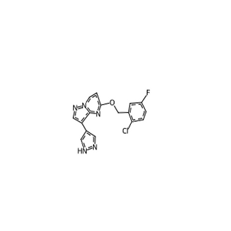 Fc1ccc(Cl)c(COc2ccn3ncc(-c4cn[nH]c4)c3n2)c1